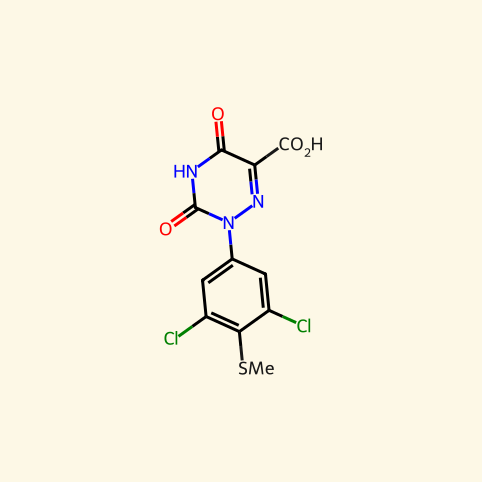 CSc1c(Cl)cc(-n2nc(C(=O)O)c(=O)[nH]c2=O)cc1Cl